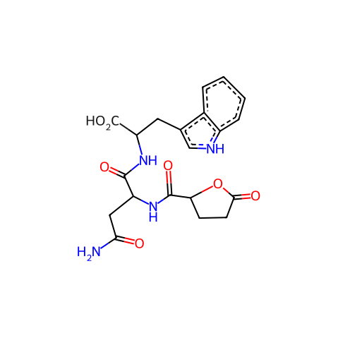 NC(=O)CC(NC(=O)C1CCC(=O)O1)C(=O)NC(Cc1c[nH]c2ccccc12)C(=O)O